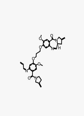 C=C/C=N\c1cc(OCCCOc2cc3c(cc2OC)C(=O)N2CC(=C)C[C@H]2C=N3)c(OC)cc1C(=O)N1CCC(=C)C1